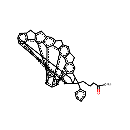 COC(=O)CCCC1(c2ccccc2)C2c3cc4c5c6c(cc7c8c9c(cc%10cc%11c%12c%13c(cc%14c%15c(c%16c3c5c3c%16c(c%15%13)c5c%12c%10c9c5c3c68)C21C%14)C%11)C7)C4